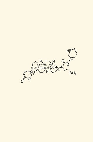 C[C@]12CC[C@H](N(CCN)C(=O)N[C@@H]3CCCNC3)C[C@H]1CC[C@@H]1[C@@H]2CC[C@]2(C)[C@@H](c3ccc(=O)oc3)CC[C@]12O